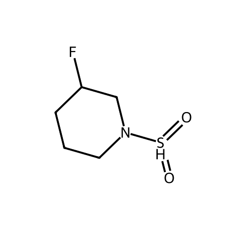 O=[SH](=O)N1CCCC(F)C1